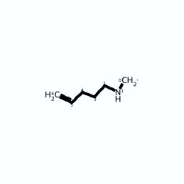 [CH2]NCCCC=C